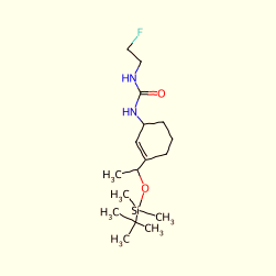 CC(O[Si](C)(C)C(C)(C)C)C1=CC(NC(=O)NCCF)CCC1